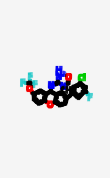 CN(C=O)/C(N)=N\C1c2cc(OC(F)(F)F)ccc2Oc2ccc(-c3cc(F)cc(Cl)c3)cc21